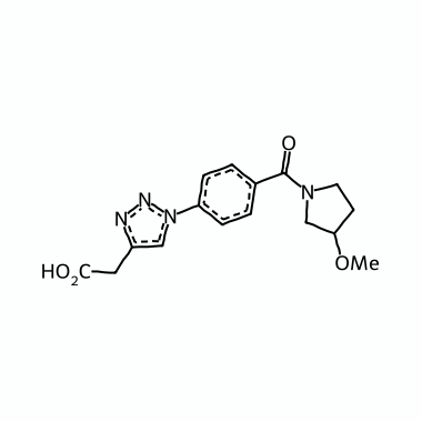 COC1CCN(C(=O)c2ccc(-n3cc(CC(=O)O)nn3)cc2)C1